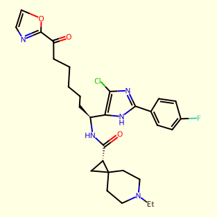 CCN1CCC2(CC1)C[C@@H]2C(=O)N[C@@H](CCCCCC(=O)c1ncco1)c1[nH]c(-c2ccc(F)cc2)nc1Cl